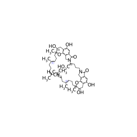 CC(C)=CCC/C(C)=C/CC[C@@]1(C)Oc2c(c(O)cc3c2CN(CCC[C@@H](C(=O)O)N2Cc4c(cc(O)c5c4O[C@@](C)(CC/C=C(\C)CCC=C(C)C)[C@@H](O)C5)C2=O)C3=O)C[C@@H]1O